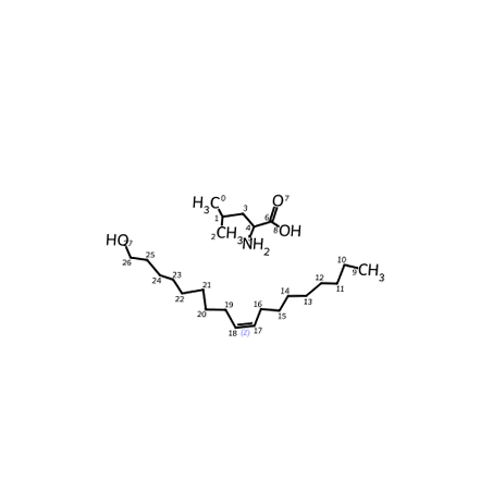 CC(C)CC(N)C(=O)O.CCCCCCCC/C=C\CCCCCCCCO